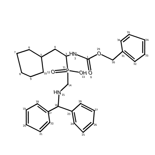 O=C(NC(CC1CCCCC1)P(=O)(O)CNC(c1ccccc1)c1ccccc1)OCc1ccccc1